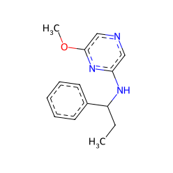 CCC(Nc1cncc(OC)n1)c1ccccc1